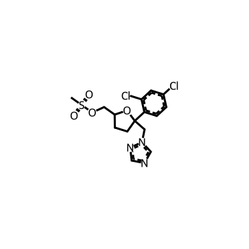 CS(=O)(=O)OCC1CCC(Cn2cncn2)(c2ccc(Cl)cc2Cl)O1